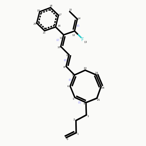 C=CCC/C1=C/C=C(/C=C/C=C(\C(F)=C/C)c2ccccc2)CC#CC1